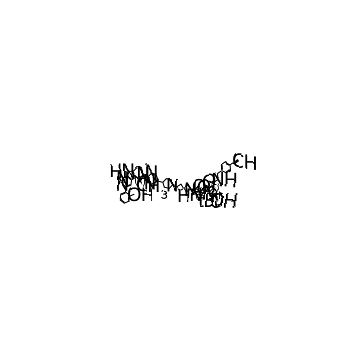 C#Cc1ccc(CNC(=O)[C@@H]2C[C@@H](O)CN2C(=O)[C@@H](NC(=O)N2CC3(CC(N4CCC(c5cnc(N6CCc7[nH]c8nnc(-c9ccccc9O)cc8c7[C@H]6C)nc5)CC4)C3)C2)C(C)(C)C)cc1